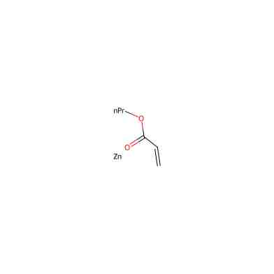 C=CC(=O)OCCC.[Zn]